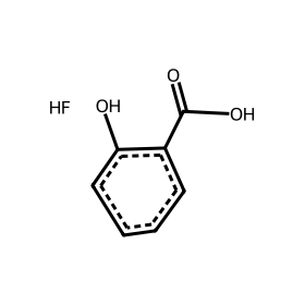 F.O=C(O)c1ccccc1O